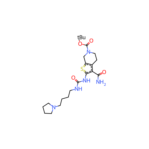 CC(C)(C)OC(=O)N1CCc2c(sc(NC(=O)NCCCCN3CCCC3)c2C(N)=O)C1